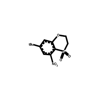 CC(C)(C)c1cc2c(c([N+](=O)[O-])c1)S(=O)(=O)CCO2